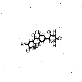 CC(C)c1cc(C(=O)c2c(Cl)cc(-c3n[nH]c(=O)[nH]c3=O)cc2Cl)n[nH]c1=O